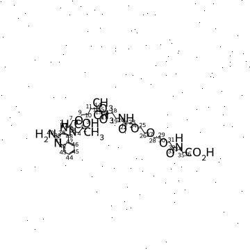 CC(C)(O)Cn1c(COCCCC(C)(C)OC(=O)CCNC(=O)COCCOCCOCC(=O)NCC(=O)O)nc2c(N)nc3ccccc3c21